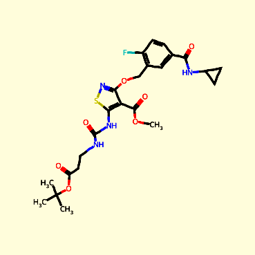 COC(=O)c1c(OCc2cc(C(=O)NC3CC3)ccc2F)nsc1NC(=O)NCCC(=O)OC(C)(C)C